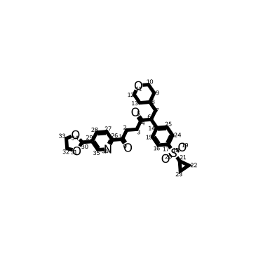 O=C(CCC(=O)C(CC1CCOCC1)c1ccc(S(=O)(=O)C2CC2)cc1)c1ccc(C2OCCO2)cn1